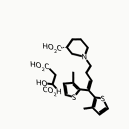 Cc1ccsc1C(=CCCN1CCC[C@@H](C(=O)O)C1)c1sccc1C.O=C(O)CC(O)C(=O)O